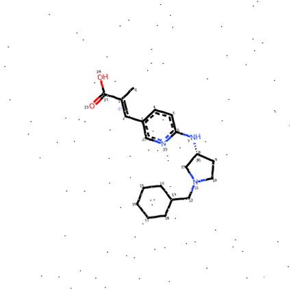 C/C(=C\c1ccc(N[C@@H]2CCN(CC3CCCCC3)C2)nc1)C(=O)O